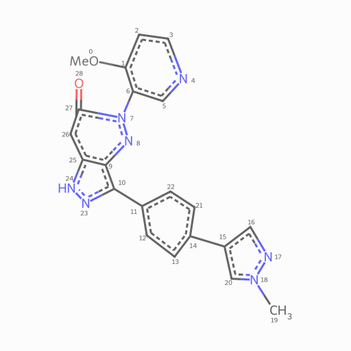 COc1ccncc1-n1nc2c(-c3ccc(-c4cnn(C)c4)cc3)n[nH]c2cc1=O